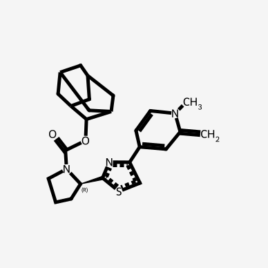 C=C1C=C(c2csc([C@H]3CCCN3C(=O)OC3C4CC5CC(C4)CC3C5)n2)C=CN1C